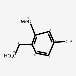 COc1cc(Cl)ccc1CC(=O)O